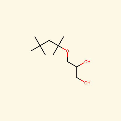 CC(C)(C)CC(C)(C)OCC(O)CO